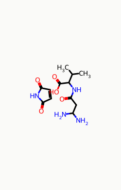 CC(C)C(NC(=O)CC(N)N)C(=O)O.O=C1C=CC(=O)N1